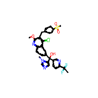 COc1nc2ccc(C(O)(c3ccc(C(C)(F)F)nc3)c3cncn3C)cc2c(Cl)c1Cc1ccc(S(C)(=O)=O)cc1